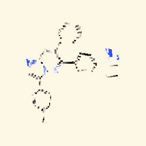 [CH2]c1ccc(-c2cnc3cc(-c4ccccc4)c(-c4ccc(C5(N)CCC5)cc4)nn23)cc1